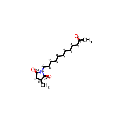 CC(=O)CCCCCCCCCCN1C(=O)C[C@H](C)C1=O